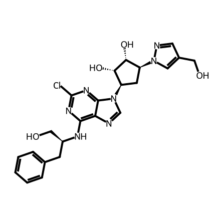 OCc1cnn([C@H]2C[C@@H](n3cnc4c(N[C@H](CO)Cc5ccccc5)nc(Cl)nc43)[C@H](O)[C@@H]2O)c1